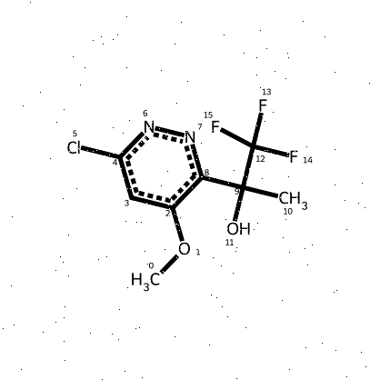 COc1cc(Cl)nnc1C(C)(O)C(F)(F)F